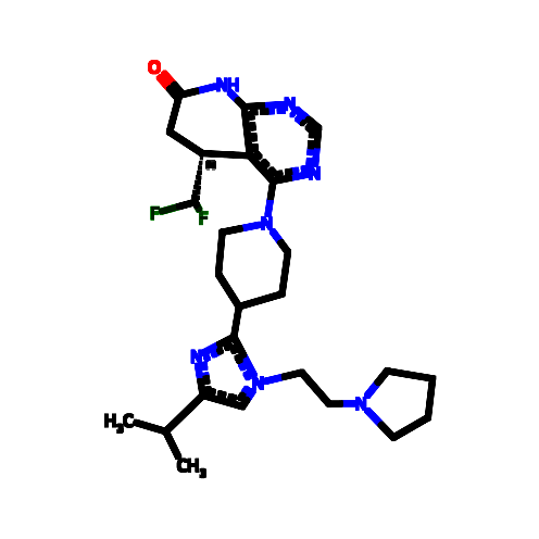 CC(C)c1cn(CCN2CCCC2)c(C2CCN(c3ncnc4c3[C@H](C(F)F)CC(=O)N4)CC2)n1